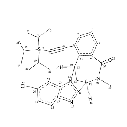 CC(C)[Si](C#Cc1cccc2c1[C@H]1C[C@H](c3nc4ccc(Cl)cc4n31)N(C)C2=O)(C(C)C)C(C)C